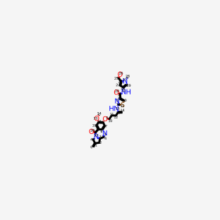 C=C1CC2C=Nc3cc(OCCCC(=C)Nc4nc(C(=O)Nc5cc(C=O)n(C)c5)cs4)c(OC)cc3C(=O)N2C1